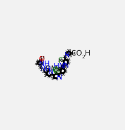 COc1nc(-c2ccnc(-c3cccc(Nc4nccc(CN5CC[C@@H](C(=O)O)C5)c4F)c3Cl)c2Cl)ccc1CNC[C@H]1CCC(=O)N1